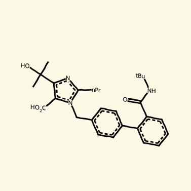 CCCc1nc(C(C)(C)O)c(C(=O)O)n1Cc1ccc(-c2ccccc2C(=O)NC(C)(C)C)cc1